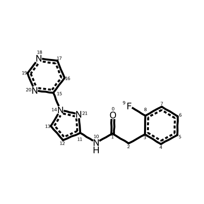 O=C(Cc1ccccc1F)Nc1ccn(-c2ccncn2)n1